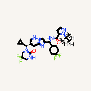 [2H]C([2H])([2H])C([2H])([2H])n1nccc1C(=O)N[C@H](c1cn2ncc([C@@H](C3CC3)N3CC(F)(F)CNC3=O)cc2n1)C1CCC(F)(F)CC1